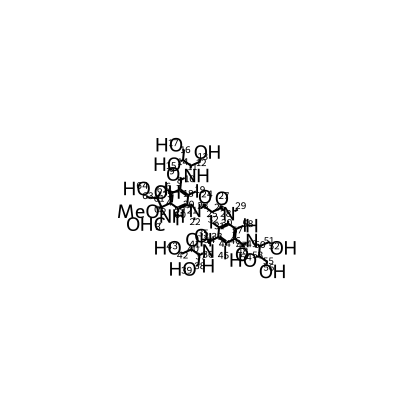 COC(NC=O)(c1c(I)c(C(=O)NC(CO)C(O)CO)c(I)c(N(C)C(=O)CC(=O)N(C)c2c(I)c(C(=O)NC(CO)C(O)CO)c(I)c(C(=O)NC(CO)C(O)CO)c2I)c1I)C(O)CO